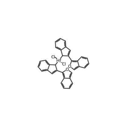 [Cl][Hf]([Cl])([CH]1C(c2occ3ccccc23)=Cc2ccccc21)[CH]1C(c2occ3ccccc23)=Cc2ccccc21